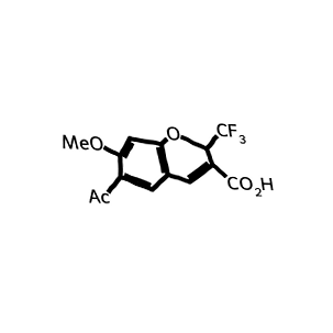 COc1cc2c(cc1C(C)=O)C=C(C(=O)O)C(C(F)(F)F)O2